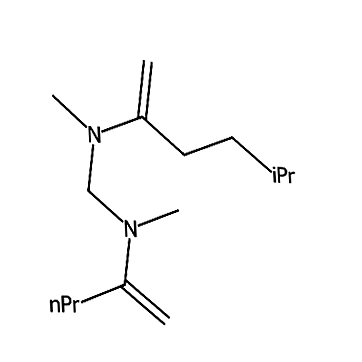 C=C(CCC)N(C)CN(C)C(=C)CCC(C)C